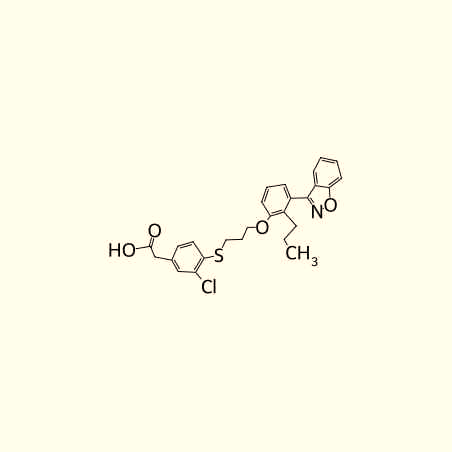 CCCc1c(OCCCSc2ccc(CC(=O)O)cc2Cl)cccc1-c1noc2ccccc12